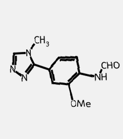 COc1cc(-c2nncn2C)ccc1NC=O